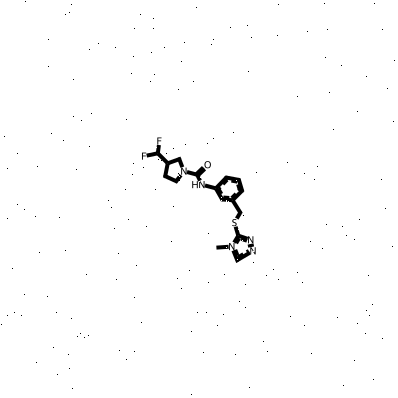 Cn1cnnc1SCc1cccc(NC(=O)N2CCC(C(F)F)C2)c1